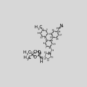 Cc1ccc(-c2ccc(CN3CC[C@H](NC(=O)OC(C)(C)C)C3)cc2-c2ccc(C#N)cc2)cc1